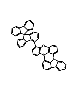 c1ccc2c(c1)-c1ccccc1C21c2ccccc2-c2c(-c3cccc4c3Oc3cccc5c3B4c3cccc4c6ccccc6n-5c34)cccc21